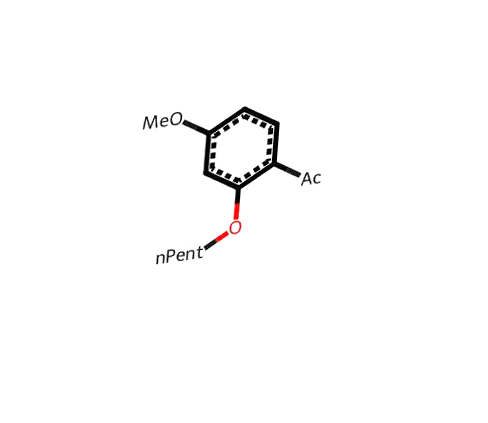 CCCCCOc1cc(OC)ccc1C(C)=O